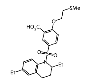 CCc1ccc2c(c1)CCC(CC)N2S(=O)(=O)c1ccc(OCCSC)c(C(=O)O)c1